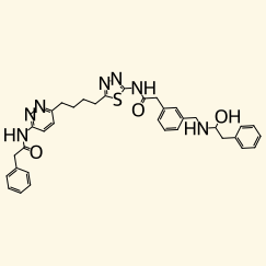 O=C(Cc1ccccc1)Nc1ccc(CCCCc2nnc(NC(=O)Cc3cccc(CNC(O)Cc4ccccc4)c3)s2)nn1